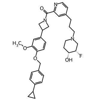 COc1cc(C2CN(C(=O)c3cc(CCCN4CC[C@@H](O)[C@@H](F)C4)ccn3)C2)ccc1OCc1ccc(C2CC2)cc1